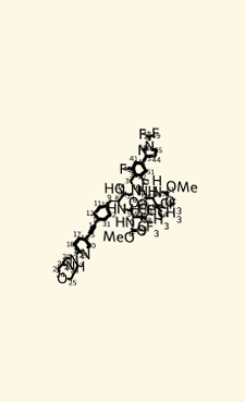 COC(=O)N[C@H](C(=O)N[C@@H](Cc1ccc(C#Cc2ccc(N3CC4COCC(C3)N4)nc2)cc1)[C@@H](O)CN(Cc1c(F)cc(-c2ccn(C(F)F)n2)cc1F)NC(=O)[C@@H](NC(=O)OC)C(C)(C)C(F)(F)F)C(C)(C)C(F)(F)F